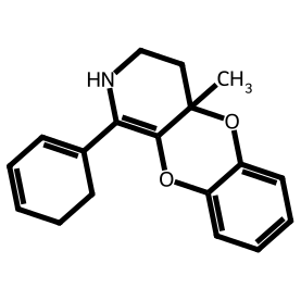 CC12CCNC(C3=CC=CCC3)=C1Oc1ccccc1O2